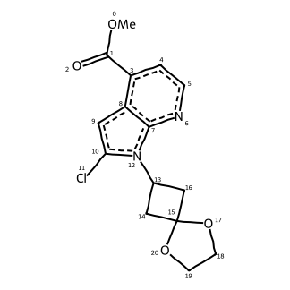 COC(=O)c1ccnc2c1cc(Cl)n2C1CC2(C1)OCCO2